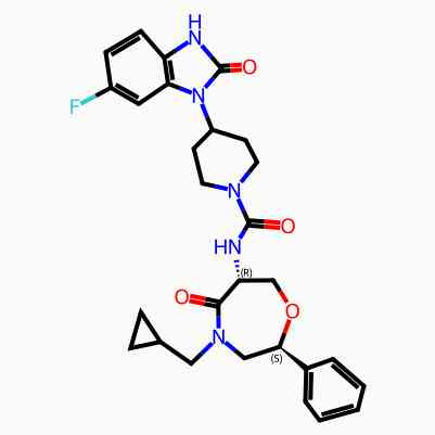 O=C(N[C@@H]1CO[C@@H](c2ccccc2)CN(CC2CC2)C1=O)N1CCC(n2c(=O)[nH]c3ccc(F)cc32)CC1